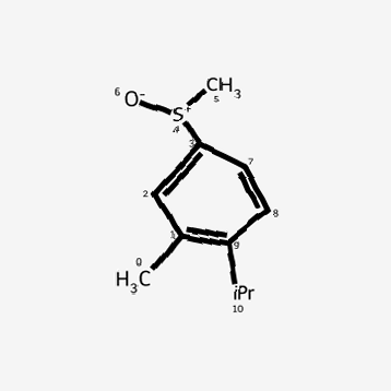 Cc1cc([S+](C)[O-])ccc1C(C)C